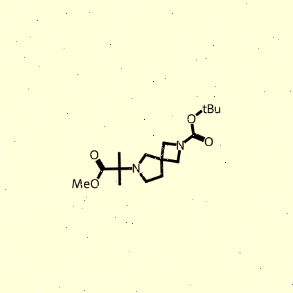 COC(=O)C(C)(C)N1CCC2(CN(C(=O)OC(C)(C)C)C2)C1